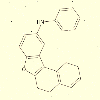 C1=CC2=C(CC1)c1c(oc3ccc(Nc4ccccc4)cc13)CC2